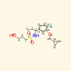 CCC(NS(=O)(=O)CCCO)c1ccc(F)c(OCC2CC2)c1